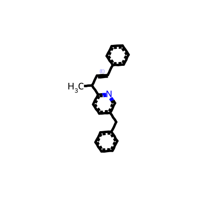 CC(/C=C/c1ccccc1)c1ccc(Cc2ccccc2)cn1